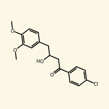 COc1ccc(CC(O)CC(=O)c2ccc(Cl)cc2)cc1OC